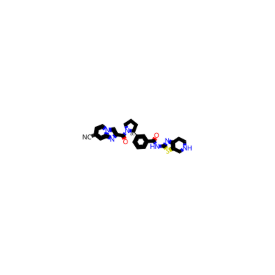 N#Cc1ccn2cc(C(=O)N3CCC[C@@H]3c3cccc(C(=O)Nc4nc5c(s4)CNCC5)c3)nc2c1